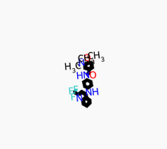 COc1ccc(C(=O)N[C@H]2CC[C@@H](Nc3cc(C(F)(F)F)nc4ccccc34)CC2)cc1N(C)C